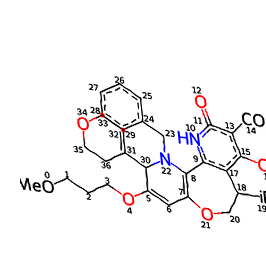 COCCCOC1=CC2=C(c3[nH]c(=O)c(C(=O)O)c(O)c3C(C(C)C)CO2)N(Cc2ccccc2)C1C1=CCOCC1